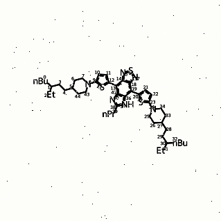 CCCCC(CC)CCC1CCN(c2ccc(-c3c4nsnc4c(-c4ccc(N5CCC(CCC(CC)CCCC)CC5)s4)c4[nH]c(CCC)nc34)s2)CC1